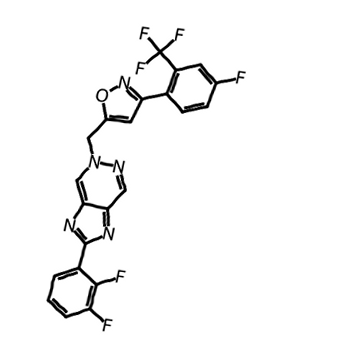 Fc1ccc(-c2cc(Cn3cc4nc(-c5cccc(F)c5F)nc-4cn3)on2)c(C(F)(F)F)c1